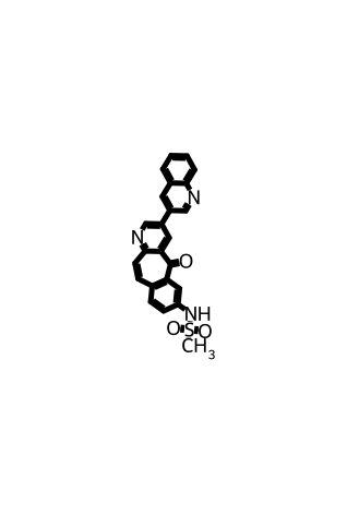 CS(=O)(=O)Nc1ccc2ccc3ncc(-c4cnc5ccccc5c4)cc3c(=O)c2c1